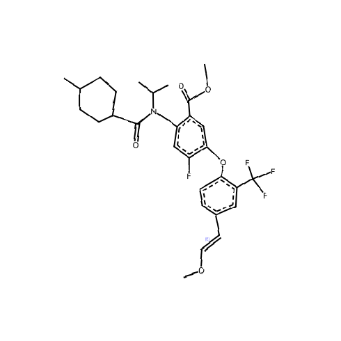 CO/C=C/c1ccc(Oc2cc(C(=O)OC)c(N(C(=O)C3CCC(C)CC3)C(C)C)cc2F)c(C(F)(F)F)c1